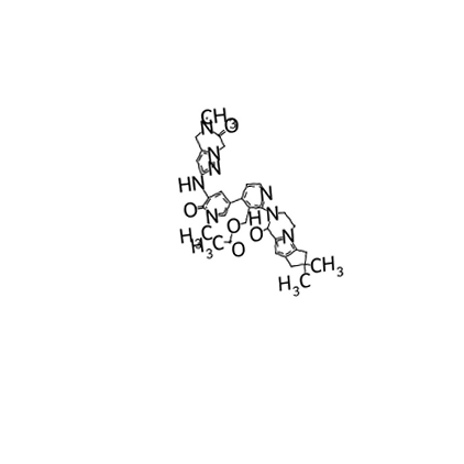 CC(=O)OCc1c(-c2cc(Nc3cc4n(n3)CC(=O)N(C)C4)c(=O)n(C)c2)ccnc1N1CCn2c(cc3c2CC(C)(C)C3)C1O